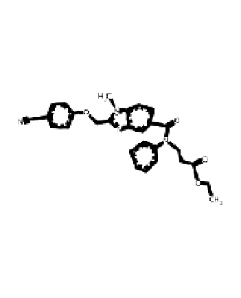 CCOC(=O)CCN(C(=O)c1ccc2c(c1)nc(COc1ccc(C#N)cc1)n2C)c1ccccc1